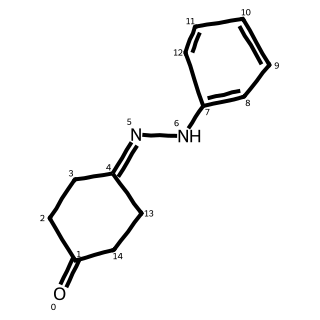 O=C1CCC(=NNc2ccccc2)CC1